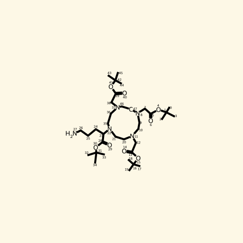 CC(C)(C)OC(=O)CN1CCN(CC(=O)OC(C)(C)C)CCN(C(CCCN)C(=O)OC(C)(C)C)CCN(CC(=O)OC(C)(C)C)CC1